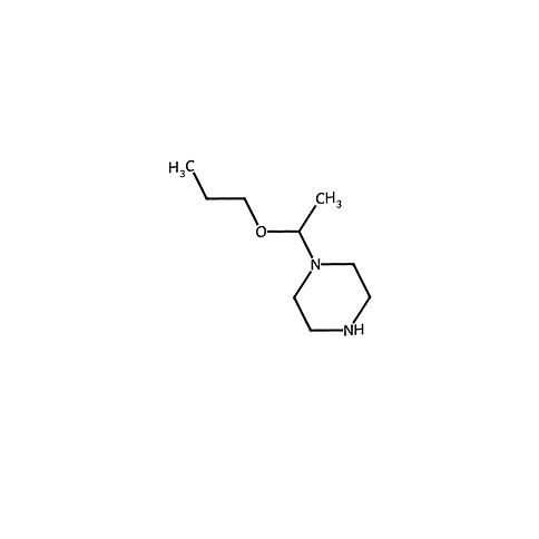 CCCOC(C)N1CCNCC1